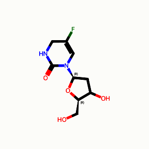 O=C1NCC(F)=CN1[C@H]1CC(O)[C@@H](CO)O1